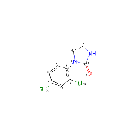 O=C1NCCN1c1ccc(Br)cc1Cl